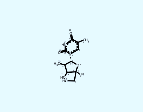 Cc1cn([C@@H]2O[C@](C#N)(CO)C(O)C2C)c(=O)[nH]c1=O